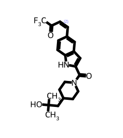 CC(C)(O)CC1CCN(C(=O)c2cc3cc(/C=C\C(=O)C(F)(F)F)ccc3[nH]2)CC1